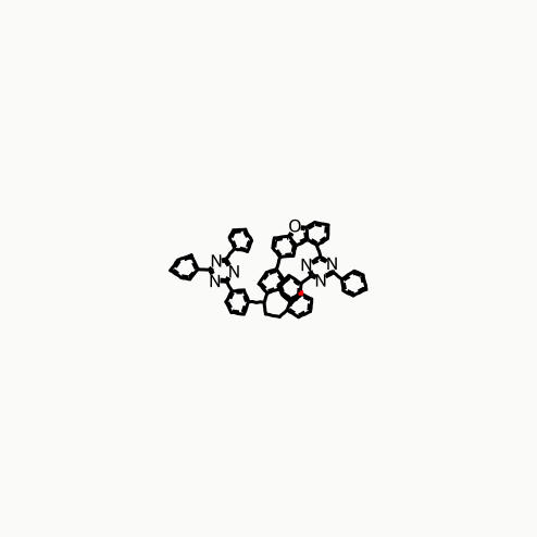 c1ccc(-c2nc(-c3ccccc3)nc(-c3cccc(C4CCc5ccccc5-c5cc(-c6ccc7oc8cccc(-c9nc(-c%10ccccc%10)nc(-c%10ccccc%10)n9)c8c7c6)ccc54)c3)n2)cc1